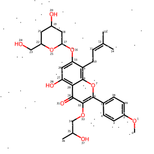 COc1ccc(-c2oc3c(CC=C(C)C)c(OC4CC(O)CC(CO)O4)cc(O)c3c(=O)c2OCC(C)O)cc1